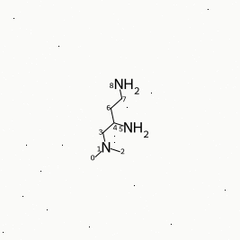 CN(C)CC(N)CCN